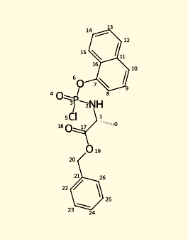 C[C@@H](NP(=O)(Cl)Oc1cccc2ccccc12)C(=O)OCc1ccccc1